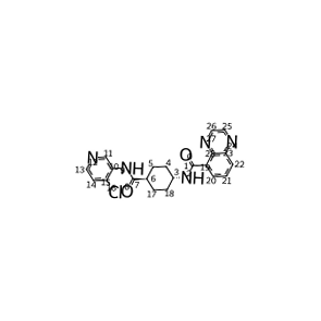 O=C(N[C@H]1CC[C@H](C(=O)Nc2cnccc2Cl)CC1)c1cccc2nccnc12